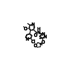 COc1c(C)ncc(C(=O)Nc2nnc(O[C@H]3CCOC3)s2)c1-c1ccnc(Cl)c1